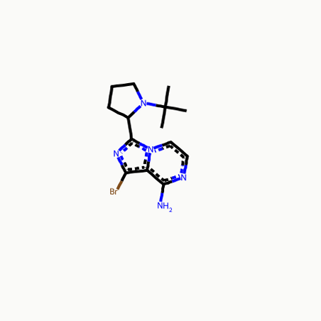 CC(C)(C)N1CCCC1c1nc(Br)c2c(N)nccn12